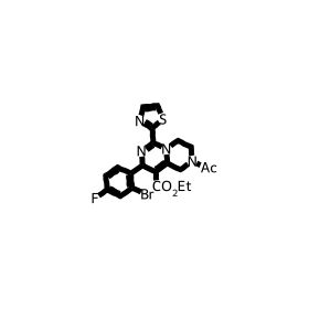 CCOC(=O)C1=C2CN(C(C)=O)CCN2C(c2nccs2)=NC1c1ccc(F)cc1Br